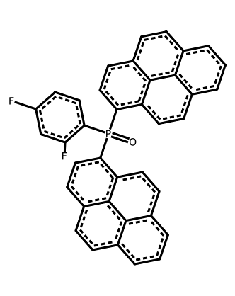 O=P(c1ccc(F)cc1F)(c1ccc2ccc3cccc4ccc1c2c34)c1ccc2ccc3cccc4ccc1c2c34